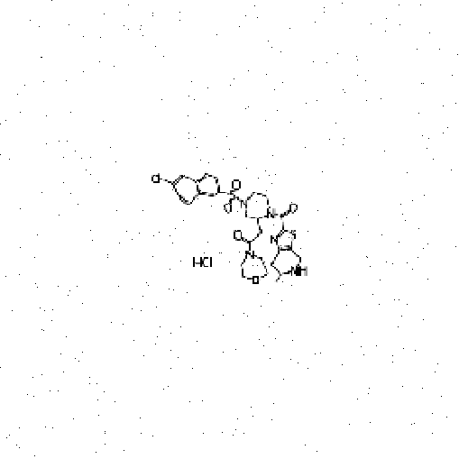 CC1Cc2nc(C(=O)N3CCN(S(=O)(=O)c4ccc5cc(Cl)ccc5c4)CC3CC(=O)N3CCOCC3)sc2CN1.Cl